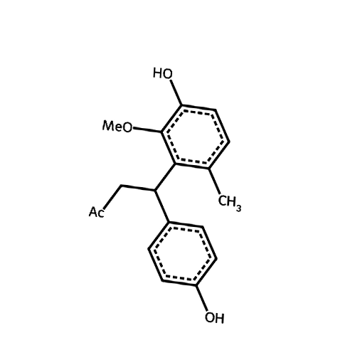 COc1c(O)ccc(C)c1C(CC(C)=O)c1ccc(O)cc1